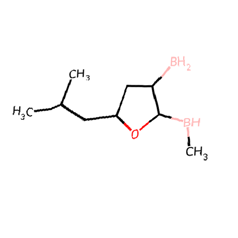 BC1CC(CC(C)C)OC1BC